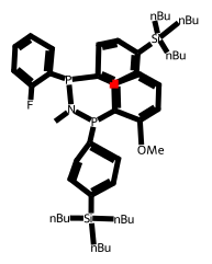 CCCC[Si](CCCC)(CCCC)c1ccc(P(c2ccccc2F)N(C)P(c2ccc([Si](CCCC)(CCCC)CCCC)cc2)c2ccccc2OC)cc1